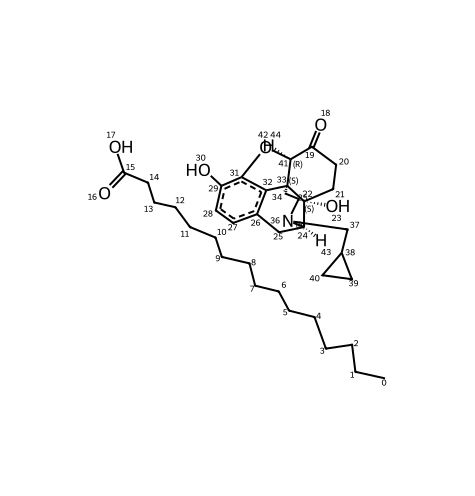 CCCCCCCCCCCCCCCC(=O)O.O=C1CC[C@@]2(O)[C@H]3Cc4ccc(O)c5c4[C@@]2(CCN3CC2CC2)[C@H]1O5